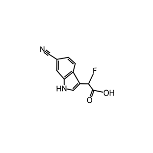 N#Cc1ccc2c(C(F)C(=O)O)c[nH]c2c1